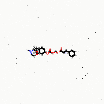 CN1CC[C@]23CCCC[C@H]2[C@H]1Cc1ccc(OC(=O)OCOC(=O)/C=C/c2ccccc2)cc13